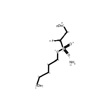 CCCCCCCCCCCCCCOS(=O)(=O)C(F)CCCCCCCCCCC.N